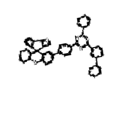 c1ccc(-c2cccc(-c3nc(-c4ccccc4)nc(-c4ccc(-c5ccc6c(c5)C5(c7ccccc7O6)c6ccccc6-c6ccccc65)cc4)n3)c2)cc1